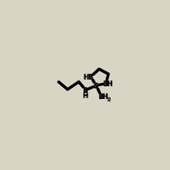 BS1(BCCC)BCCB1